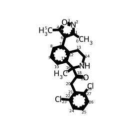 Cc1noc(C)c1-c1cccc2c1CCNC2(C)C(=O)Cc1c(Cl)cccc1Cl